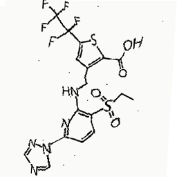 CCS(=O)(=O)c1ccc(-n2cncn2)nc1NCc1cc(C(F)(F)C(F)(F)F)sc1C(=O)O